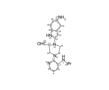 CC(C)Nc1cccnc1N1CCN(c2cc3cc(N)ccc3[nH]2)C(C=O)C1